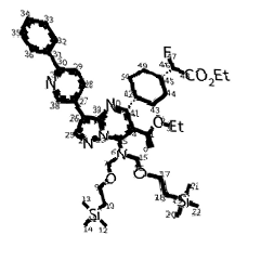 C=C(OCC)c1c(N(COCC[Si](C)(C)C)COCC[Si](C)(C)C)n2ncc(-c3ccc(-c4ccccc4)nc3)c2nc1[C@H]1CC[C@@H](C(F)C(=O)OCC)CC1